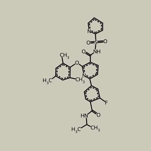 Cc1cc(C)c(Oc2nc(-c3ccc(C(=O)NC(C)C)c(F)c3)ccc2C(=O)NS(=O)(=O)c2ccccn2)c(C)c1